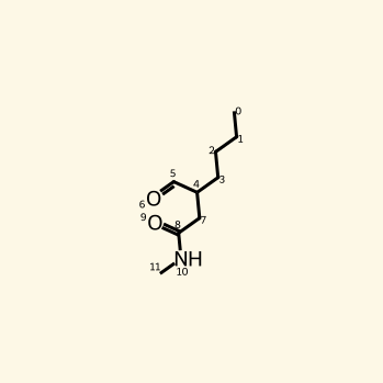 CCCCC(C=O)CC(=O)NC